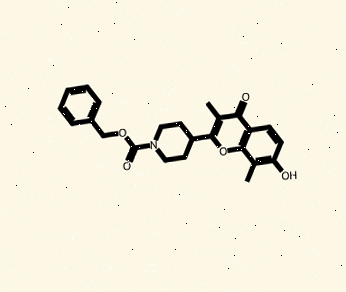 Cc1c(C2CCN(C(=O)OCc3ccccc3)CC2)oc2c(C)c(O)ccc2c1=O